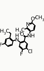 CCc1cc(F)ccc1Nc1cc(F)c(Cl)cc1C(=O)Nc1ccc(OC)nc1C